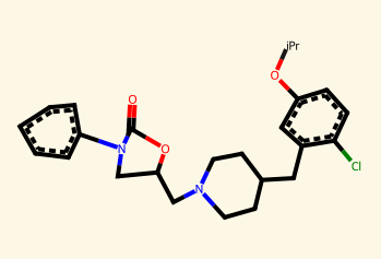 CC(C)Oc1ccc(Cl)c(CC2CCN(CC3CN(c4ccccc4)C(=O)O3)CC2)c1